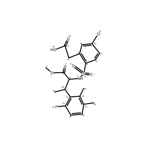 COC(=O)C(NS(=O)(=O)c1ccc(Cl)cc1CC(=O)O)C(C)c1c(F)ccc(C)c1C